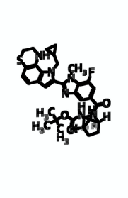 Cn1c(-c2cc3ccc4c(c3n2CC2CC2)NCCS4)nc2cc(C(=O)N3C[C@H]4CC[C@@H]3[C@@H]4NC(=O)OC(C)(C)C)cc(F)c21